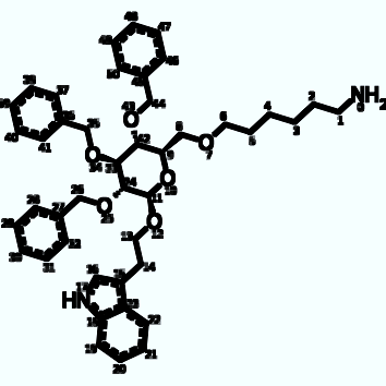 NCCCCCCOC[C@H]1O[C@@H](OCCc2c[nH]c3ccccc23)[C@H](OCc2ccccc2)[C@@H](OCc2ccccc2)[C@@H]1OCc1ccccc1